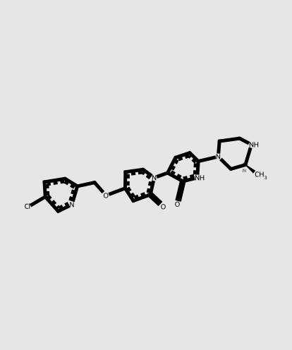 C[C@H]1CN(c2ccc(-n3ccc(OCc4ccc(Cl)cn4)cc3=O)c(=O)[nH]2)CCN1